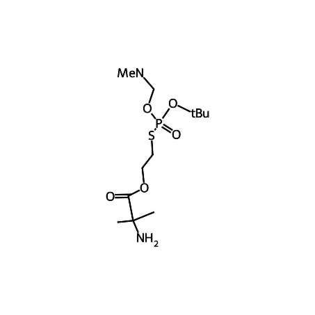 CNCOP(=O)(OC(C)(C)C)SCCOC(=O)C(C)(C)N